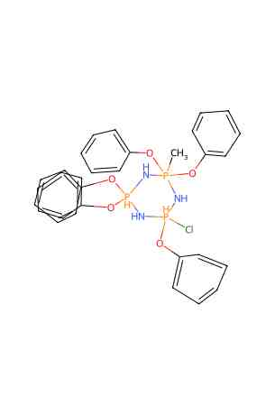 CP1(Oc2ccccc2)(Oc2ccccc2)N[PH](Cl)(Oc2ccccc2)N[PH](Oc2ccccc2)(Oc2ccccc2)N1